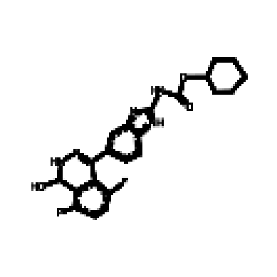 O=C(Nc1nc2cc(C3=NNC(O)c4c(F)ccc(F)c43)ccc2[nH]1)OC1CCCCC1